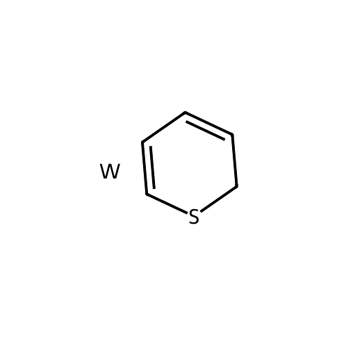 C1=CCSC=C1.[W]